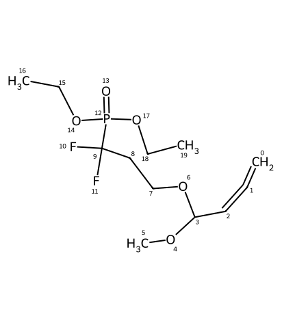 C=C=CC(OC)OCCC(F)(F)P(=O)(OCC)OCC